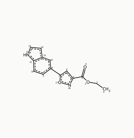 CCOC(=O)c1cc(-c2ccc3[nH]ccc3c2)on1